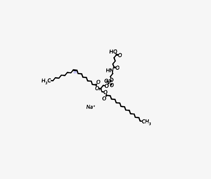 CCCCCCCC/C=C\CCCCCCCC(=O)O[C@H](COC(=O)CCCCCCCCCCCCCCC)COP(=O)([O-])OCCNC(=O)CCCC(=O)O.[Na+]